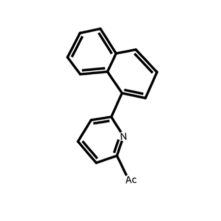 CC(=O)c1cccc(-c2cccc3ccccc23)n1